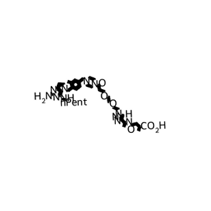 CCCCCNc1nc(N)nc2ccn(Cc3ccc(CN4CCN(C(=O)CCOCCOCCn5cc(C(C)NC(=O)CC(C)C(=O)O)nn5)CC4)cc3C)c12